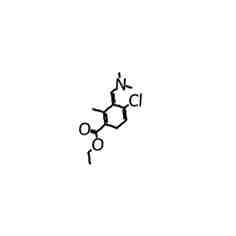 CCOC(=O)C1=C(C)C(=CN(C)C)C(Cl)=CC1